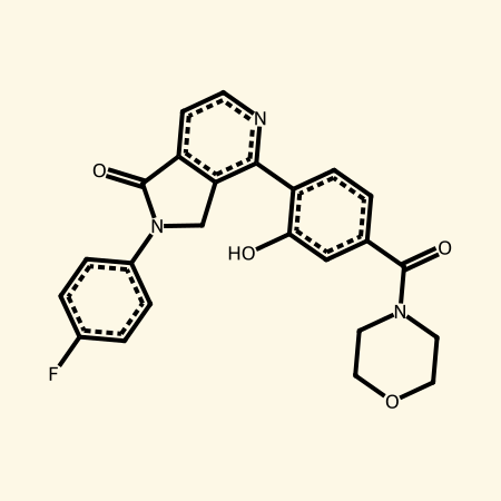 O=C(c1ccc(-c2nccc3c2CN(c2ccc(F)cc2)C3=O)c(O)c1)N1CCOCC1